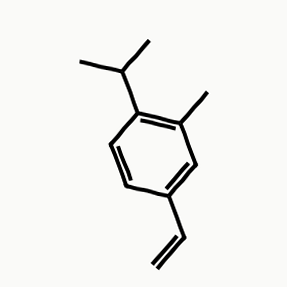 C=Cc1ccc(C(C)C)c(C)c1